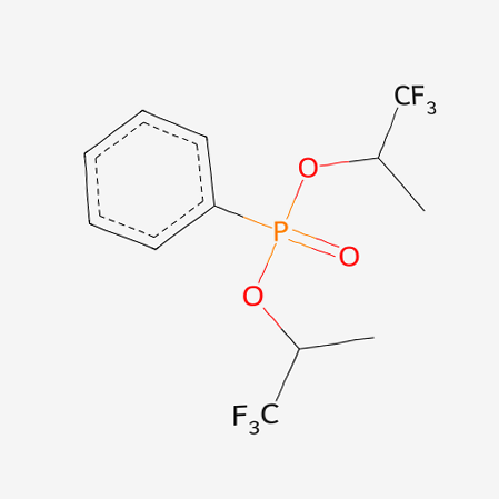 CC(OP(=O)(OC(C)C(F)(F)F)c1ccccc1)C(F)(F)F